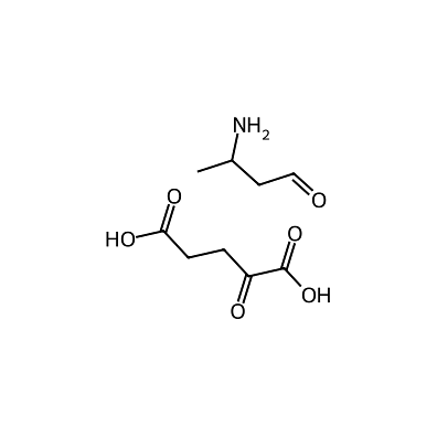 CC(N)CC=O.O=C(O)CCC(=O)C(=O)O